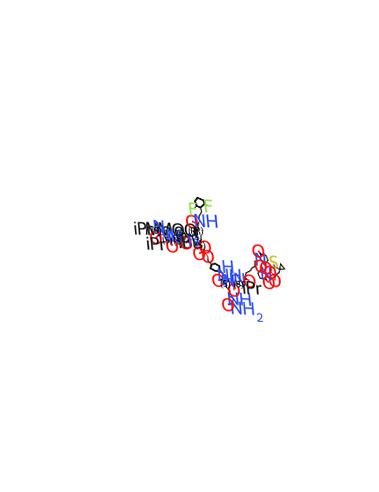 CC[C@H](C)[C@@H]([C@@H](CC(=O)N1C[C@@H](OC(=O)OCc2ccc(NC(=O)[C@H](CCCNC(N)=O)NC(=O)[C@@H](NC(=O)CCCCCN3C(=O)CC(SCC4(CC(=O)ON5C(=O)CCC5=O)CC4)C3=O)C(C)C)cc2)C[C@H]1[C@H](OC)[C@@H](C)C(=O)NCCc1c(F)cccc1F)OC)N(C)C(=O)[C@@H](NC(=O)[C@H](C(C)C)N(C)C)C(C)C